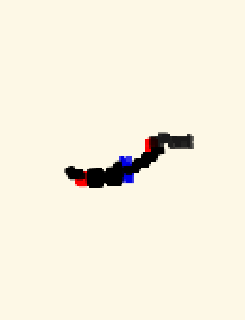 C=CCOc1ccc(-c2ccc3nc(/C=C/CCCC(C)OCCCCC)ncc3c2)cc1